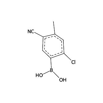 Cc1cc(Cl)c(B(O)O)cc1C#N